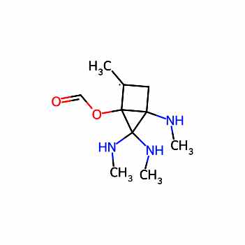 CNC12C[C](C)C1(OC=O)C2(NC)NC